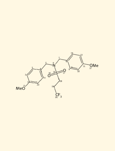 COc1ccc(CN(Cc2ccc(OC)cc2)S(=O)(=O)CCC(F)(F)F)cc1